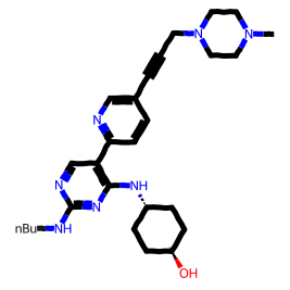 CCCCNc1ncc(-c2ccc(C#CCN3CCN(C)CC3)cn2)c(N[C@H]2CC[C@H](O)CC2)n1